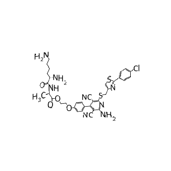 C[C@@H](NC(=O)[C@@H](N)CCCCN)C(=O)OCCOc1ccc(-c2c(C#N)c(N)nc(SCc3csc(-c4ccc(Cl)cc4)n3)c2C#N)cc1